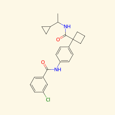 CC(NC(=O)C1(c2ccc(NC(=O)c3cccc(Cl)c3)cc2)CCC1)C1CC1